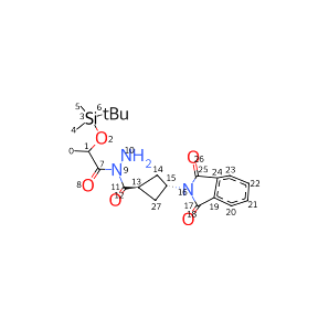 CC(O[Si](C)(C)C(C)(C)C)C(=O)N(N)C(=O)[C@H]1C[C@H](N2C(=O)c3ccccc3C2=O)C1